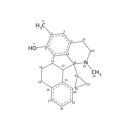 Cc1cc2c(cc1O)C(C1CC1)(C1CCCc3ccccc31)N(C)CC2